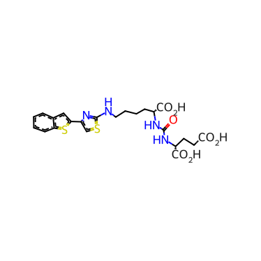 O=C(O)CC[C@H](NC(=O)N[C@@H](CCCCNc1nc(-c2cc3ccccc3s2)cs1)C(=O)O)C(=O)O